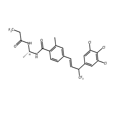 Cc1cc(C=CC(c2cc(Cl)c(Cl)c(Cl)c2)C(F)(F)F)ccc1C(=O)N[C@H](C)NC(=O)CC(F)(F)F